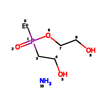 CCP(=O)(CCO)OCCO.N